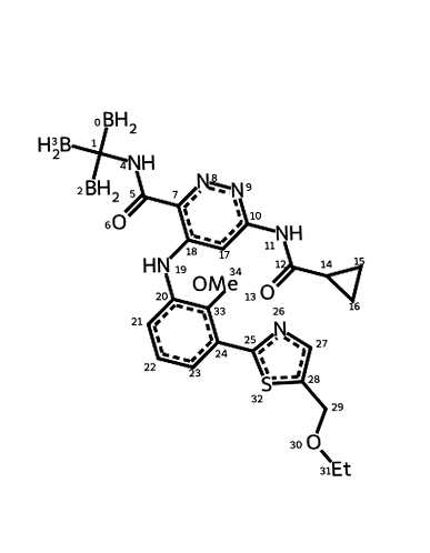 BC(B)(B)NC(=O)c1nnc(NC(=O)C2CC2)cc1Nc1cccc(-c2ncc(COCC)s2)c1OC